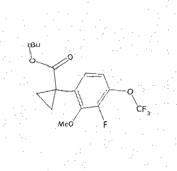 COc1c(C2(C(=O)OC(C)(C)C)CC2)ccc(OC(F)(F)F)c1F